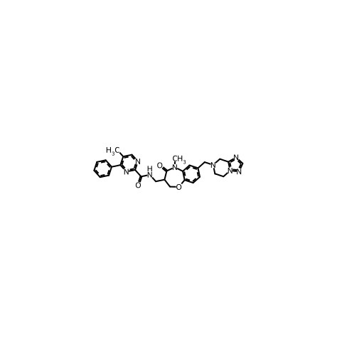 Cc1cnc(C(=O)NCC2COc3ccc(CN4CCn5ncnc5C4)cc3N(C)C2=O)nc1-c1ccccc1